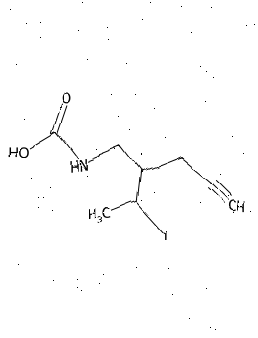 C#CCC(CNC(=O)O)C(C)I